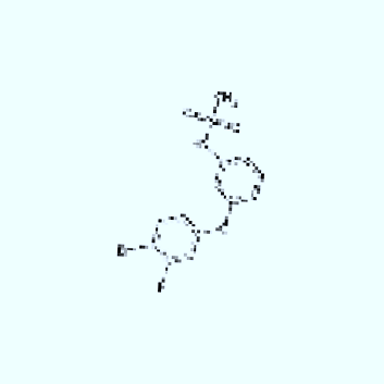 CS(=O)(=O)Nc1cccc(Oc2ccc(Br)c(F)c2)c1